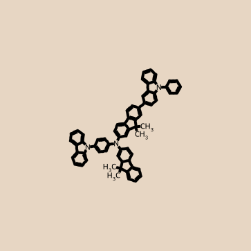 CC1(C)c2cc(-c3ccc4c(c3)c3ccccc3n4-c3ccccc3)ccc2-c2ccc(N(C3=CC4C(C=C3)c3ccccc3C4(C)C)c3ccc(-n4c5ccccc5c5ccccc54)cc3)cc21